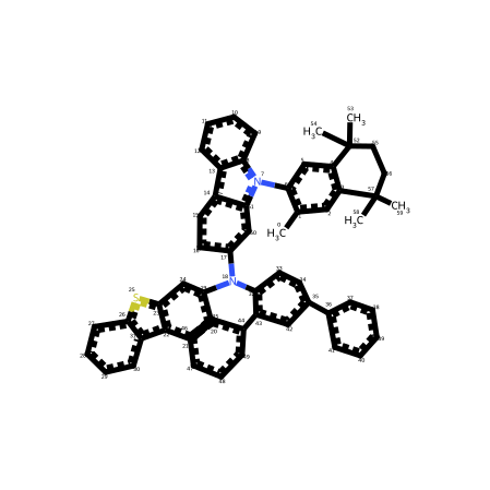 Cc1cc2c(cc1-n1c3ccccc3c3ccc(N(c4ccc5c(c4)sc4ccccc45)c4ccc(-c5ccccc5)cc4-c4ccccc4)cc31)C(C)(C)CCC2(C)C